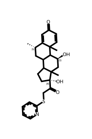 C[C@H]1CC2C([C@@H](O)CC3(C)C2CC[C@]3(O)C(=O)CSc2ccccn2)C2(C)C=CC(=O)C=C12